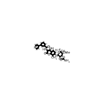 CO[C@@H]1[C@@H](OC(N)=O)[C@@H](O)[C@H](Oc2ccc3c(O)c(NC(=O)c4cccc(-c5ccncc5)c4)c(=O)oc3c2C)OC1(C)C